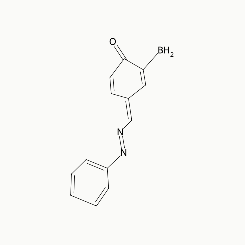 BC1=CC(=CN=Nc2ccccc2)C=CC1=O